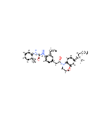 COc1cc(CC(=O)N2CCOc3cc([C@H](CC(=O)O)C(C)C)ccc32)ccc1NC(=O)Nc1ccccc1C